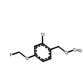 O=COCc1ccc(OCF)cc1Cl